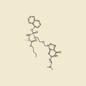 CCCCOC(=O)[C@H](C)NP(=O)(OCCOCn1cnc2c(=O)[nH]c(/N=C/N(C)C)nc21)Oc1cccc2ccccc12